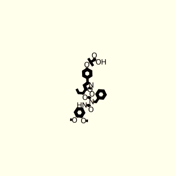 CCC(OC(=O)N(Cc1ccccc1)C(=O)Nc1ccc(OC)c(OC)c1)c1cc(-c2ccc(OC(C)(C)C(=O)O)cc2)no1